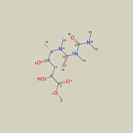 COC(=O)C(O)CC(=O)[C@H](C)N(C)C(=O)N(C)C(=O)N(C)C